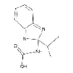 CC(C)C1(NC(=O)O)N=c2ccccc2=N1